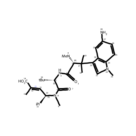 CN[C@@H](C(=O)N[C@H](C(=O)N(C)[C@H](/C=C(\C)C(=O)O)C(C)C)C(C)(C)C)C(C)(C)c1cn(C)c2ccc(N)cc12